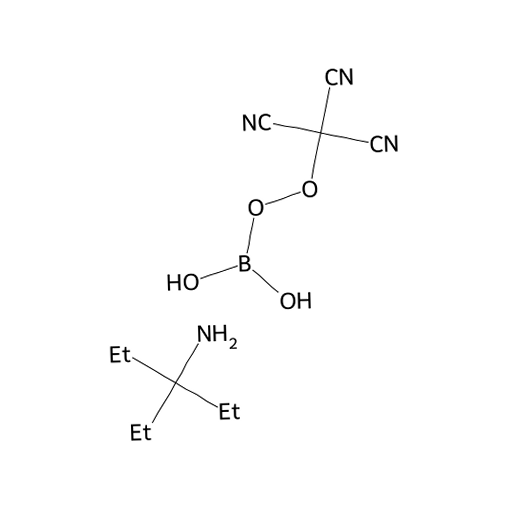 CCC(N)(CC)CC.N#CC(C#N)(C#N)OOB(O)O